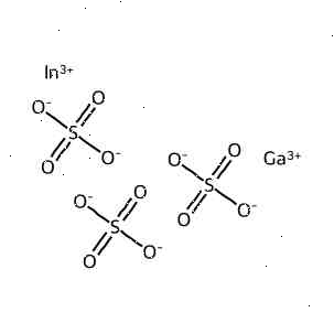 O=S(=O)([O-])[O-].O=S(=O)([O-])[O-].O=S(=O)([O-])[O-].[Ga+3].[In+3]